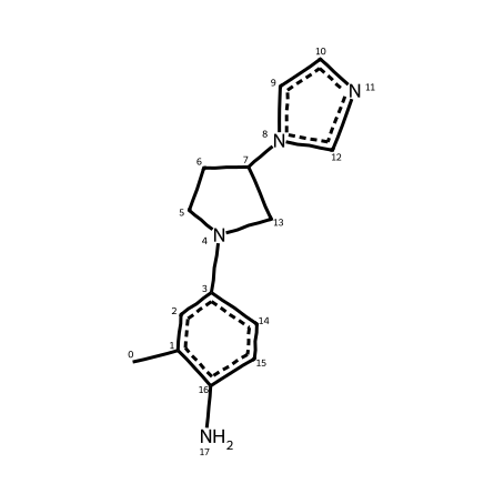 Cc1cc(N2CCC(n3ccnc3)C2)ccc1N